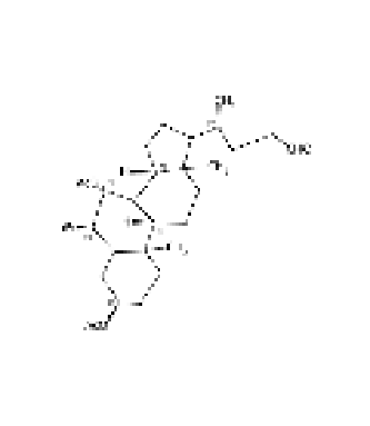 CCC[C@@H]1C2C[C@H](OC(C)=O)CCC2(C)[C@H]2CCC3(C)C([C@H](C)CCC=O)CC[C@H]3C2[C@@H]1OC(C)=O